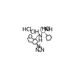 Cl.Cl.Cl.c1ccc([C@@H]2NCCC[C@@H]2NCc2cc(-n3cncn3)cc3ccoc23)cc1